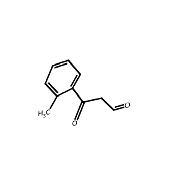 Cc1ccccc1C(=O)CC=O